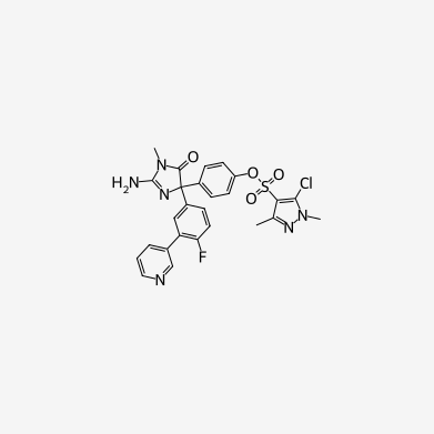 Cc1nn(C)c(Cl)c1S(=O)(=O)Oc1ccc(C2(c3ccc(F)c(-c4cccnc4)c3)N=C(N)N(C)C2=O)cc1